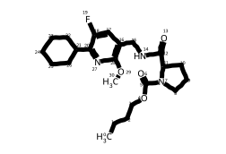 CCCCOC(=O)N1CCCC1C(=O)NCc1cc(F)c(C2CCCCC2)nc1OC